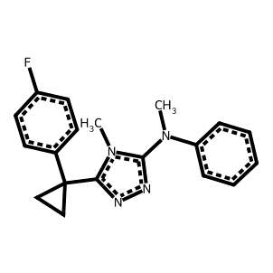 CN(c1ccccc1)c1nnc(C2(c3ccc(F)cc3)CC2)n1C